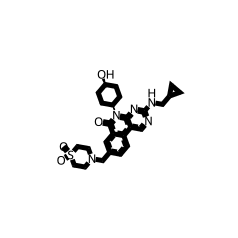 O=c1c2cc(CN3CCS(=O)(=O)CC3)ccc2c2cnc(NCC3CC3)nc2n1[C@H]1CC[C@H](O)CC1